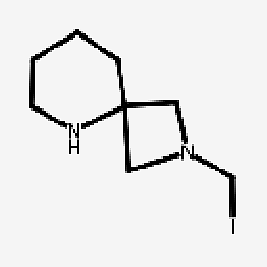 ICN1CC2(CCCCN2)C1